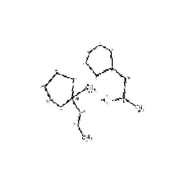 CC(C)CC1CCCCC1.CCCC1(C)CCCCC1